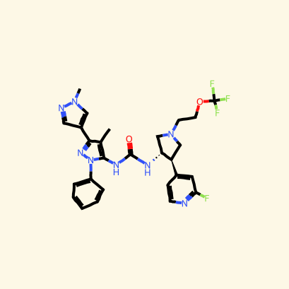 Cc1c(-c2cnn(C)c2)nn(-c2ccccc2)c1NC(=O)N[C@@H]1CN(CCOC(F)(F)F)C[C@H]1c1ccnc(F)c1